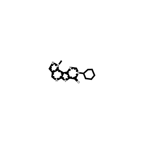 Cn1ncc2cnc3sc4c(=O)n(C5CCCCC5)cnc4c3c21